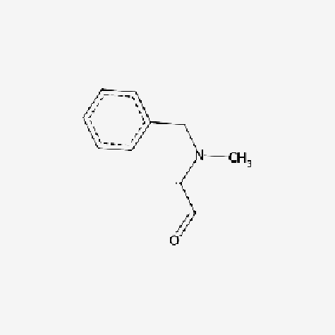 CN([CH]C=O)Cc1ccccc1